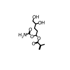 C=C(C)C(=O)OC(CCC(O)CO)OC(N)=O